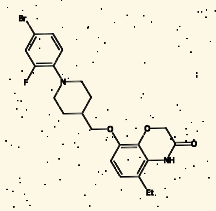 CCc1ccc(OCC2CCN(c3ccc(Br)cc3F)CC2)c2c1NC(=O)CO2